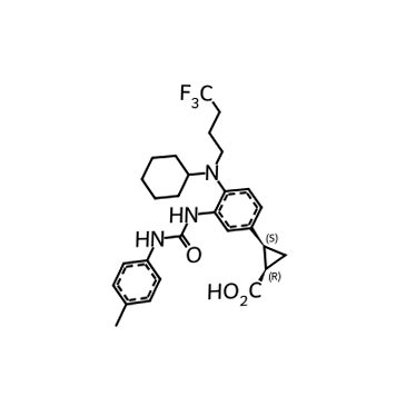 Cc1ccc(NC(=O)Nc2cc([C@H]3C[C@H]3C(=O)O)ccc2N(CCCC(F)(F)F)C2CCCCC2)cc1